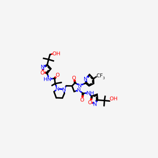 CC(C)(CO)c1cc(NC(=O)N2CC(CN3CCCCN3C(C)(C)C(=O)Nc3cc(C(C)(C)CO)no3)C(=O)N2c2ccc(C(F)(F)F)cn2)on1